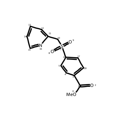 COC(=O)c1ccc(S(=O)(=O)Cc2ccccn2)cc1